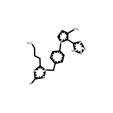 CCCCc1nc(Cl)nn1Cc1ccc(-n2ccc(C)c2-c2nnn[nH]2)cc1